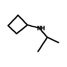 CC(C)NC1CCC1